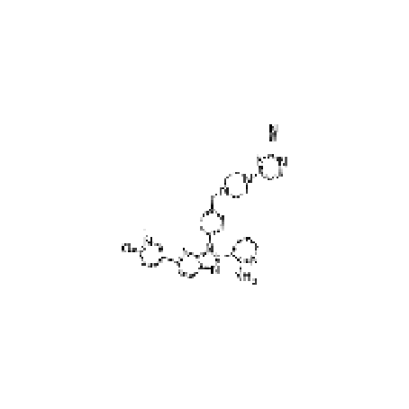 Cn1cc(-c2ccc3nc(-c4cccnc4N)n(-c4ccc(CN5CCN(c6ccnc(C#N)n6)CC5)cc4)c3n2)ccc1=O